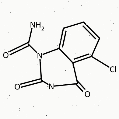 NC(=O)N1C(=O)[N]C(=O)c2c(Cl)cccc21